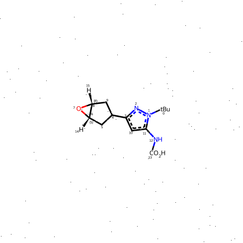 CC(C)(C)n1nc(C2C[C@@H]3O[C@@H]3C2)cc1NC(=O)O